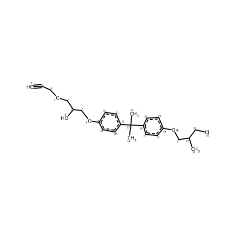 C#CCOCC(O)COc1ccc(C(C)(C)c2ccc(OCC(C)CCl)cc2)cc1